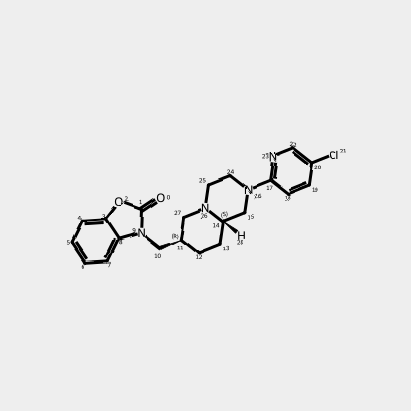 O=c1oc2ccccc2n1C[C@@H]1CC[C@H]2CN(c3ccc(Cl)cn3)CCN2C1